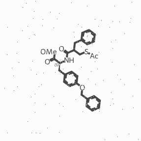 COC(=O)[C@H](Cc1ccc(OCc2ccccc2)cc1)NC(=O)C(CSC(C)=O)Cc1ccccc1